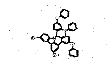 CC(C)(C)c1ccc2c(c1)c1cc(C(C)(C)C)cc3c1n2C1c2ccc(Oc4ccccc4)cc2N(c2ccccc2)c2cc(Oc4ccccc4)cc-3c21